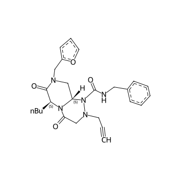 C#CCN1CC(=O)N2[C@@H](CCCC)C(=O)N(Cc3ccco3)C[C@@H]2N1C(=O)NCc1ccccc1